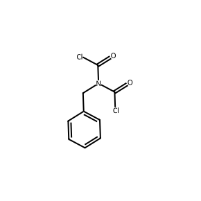 O=C(Cl)N(Cc1ccccc1)C(=O)Cl